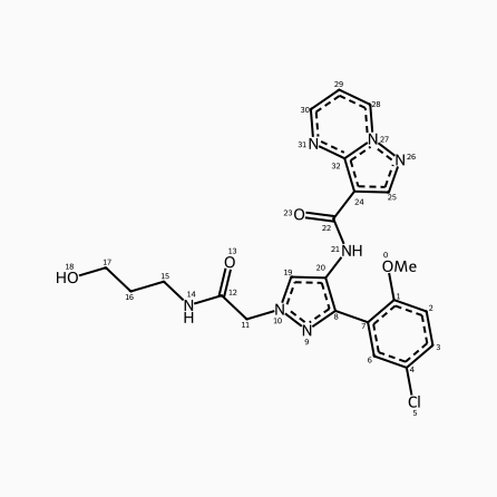 COc1ccc(Cl)cc1-c1nn(CC(=O)NCCCO)cc1NC(=O)c1cnn2cccnc12